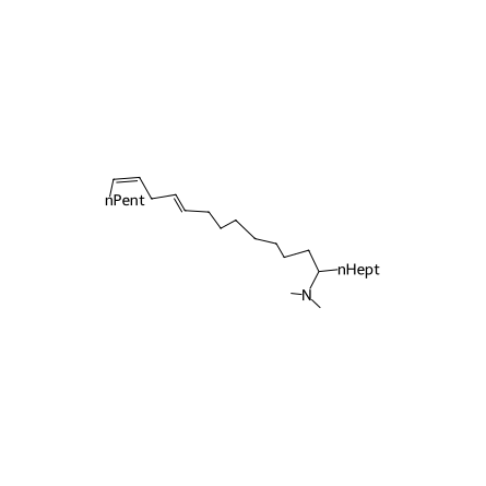 CCCCC/C=C\C/C=C/CCCCCCCC(CCCCCCC)N(C)C